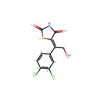 O=C1NC(=O)/C(=C(\CO)c2ccc(Cl)c(Cl)c2)S1